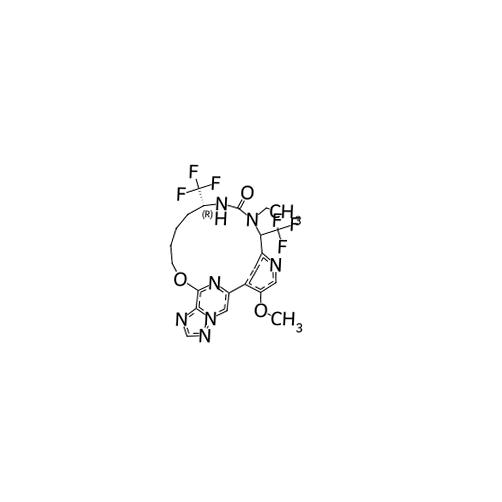 CCN1C(=O)N[C@@H](C(F)(F)F)CCCCOc2nc(cn3ncnc23)-c2cc(ncc2OC)C1C(F)(F)F